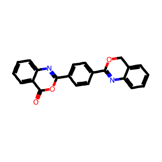 O=c1oc(-c2ccc(C3=Nc4ccccc4CO3)cc2)nc2ccccc12